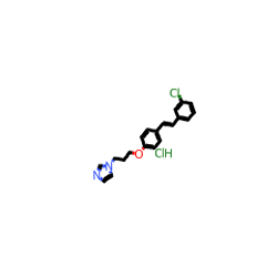 Cl.Clc1cccc(C=Cc2ccc(OCCCn3ccnc3)cc2)c1